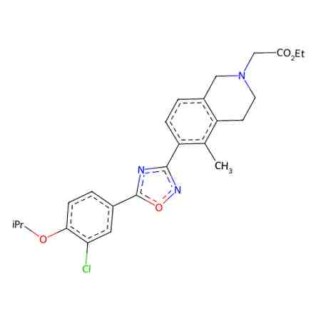 CCOC(=O)CN1CCc2c(ccc(-c3noc(-c4ccc(OC(C)C)c(Cl)c4)n3)c2C)C1